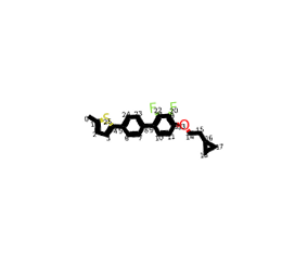 Cc1ccc(-c2ccc(-c3ccc(OCCC4CC4)c(F)c3F)cc2)s1